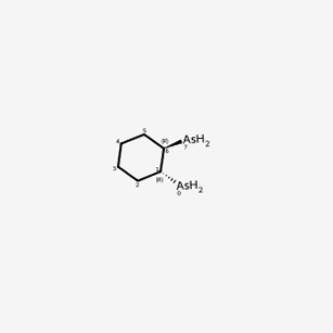 [AsH2][C@@H]1CCCC[C@H]1[AsH2]